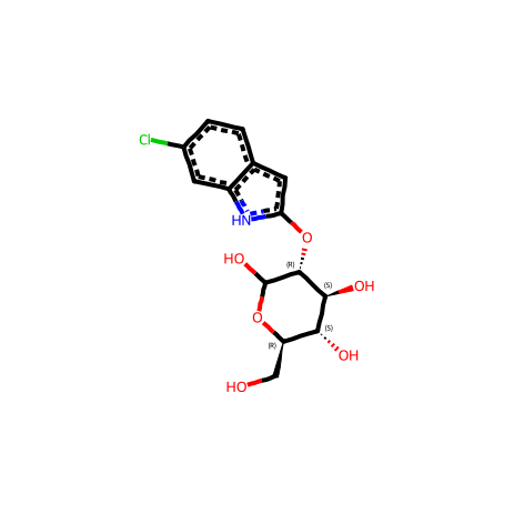 OC[C@H]1OC(O)[C@H](Oc2cc3ccc(Cl)cc3[nH]2)[C@@H](O)[C@@H]1O